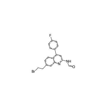 O=CNc1cc(-c2ccc(F)cc2)c2ccc(CCBr)cc2n1